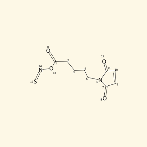 O=C(CCCCN1C(=O)C=CC1=O)ON=S